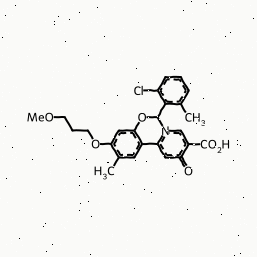 COCCCOc1cc2c(cc1C)-c1cc(=O)c(C(=O)O)cn1C(c1c(C)cccc1Cl)O2